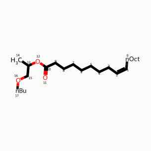 CCCCCCCC/C=C\CCCCCCCC(=O)OC(C)COCCCC